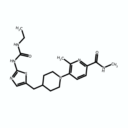 CCNC(=O)Nc1ncc(CC2CCN(c3ccc(C(=O)NC)nc3C)CC2)s1